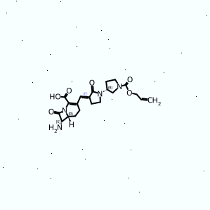 C=CCOC(=O)N1CC[C@@H](N2CC/C(=C\C3=C(C(=O)O)N4C(=O)[C@@H](N)[C@H]4CC3)C2=O)C1